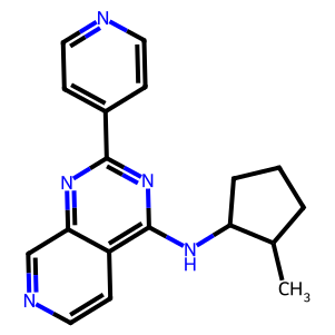 CC1CCCC1Nc1nc(-c2ccncc2)nc2cnccc12